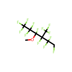 COC(F)(C(F)(F)C(F)(F)F)C(F)(C(F)(F)F)C(F)(F)CF